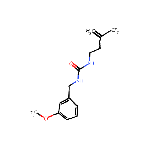 C=C(CCNC(=O)NCc1cccc(OC(F)(F)F)c1)C(F)(F)F